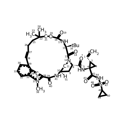 C=C[C@@H]1C[C@]1(NC(=O)[C@@H]1C[C@@H]2CN1C(=O)[C@H](C(C)(C)C)NC(=O)OCC(C)(C)CC/C=C/c1cccc3c1cc(n3C)C(=O)N2)C(=O)NS(=O)(=O)C1CC1